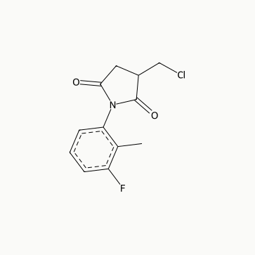 Cc1c(F)cccc1N1C(=O)CC(CCl)C1=O